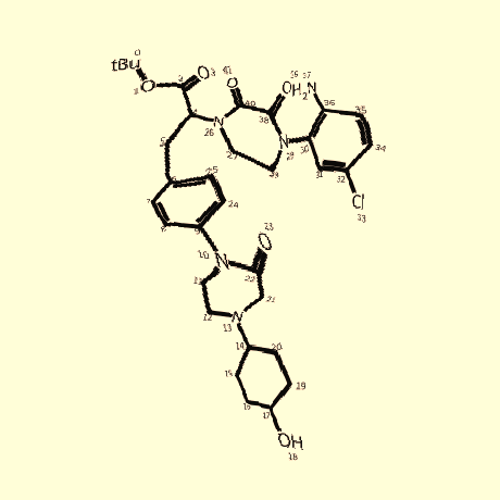 CC(C)(C)OC(=O)C(Cc1ccc(N2CCN(C3CCC(O)CC3)CC2=O)cc1)N1CCN(c2cc(Cl)ccc2N)C(=O)C1=O